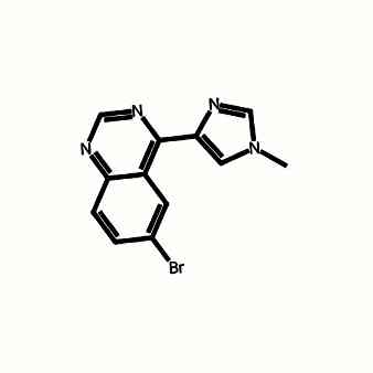 Cn1cnc(-c2ncnc3ccc(Br)cc23)c1